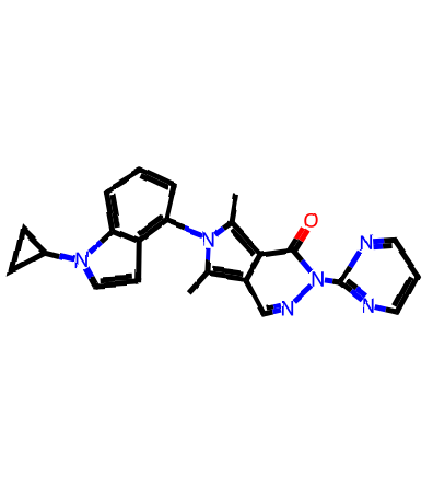 Cc1c2cnn(-c3ncccn3)c(=O)c2c(C)n1-c1cccc2c1ccn2C1CC1